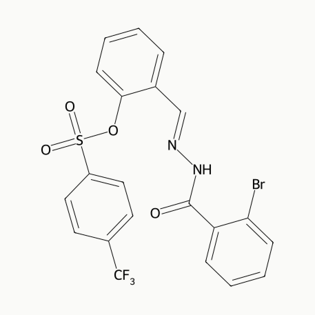 O=C(NN=Cc1ccccc1OS(=O)(=O)c1ccc(C(F)(F)F)cc1)c1ccccc1Br